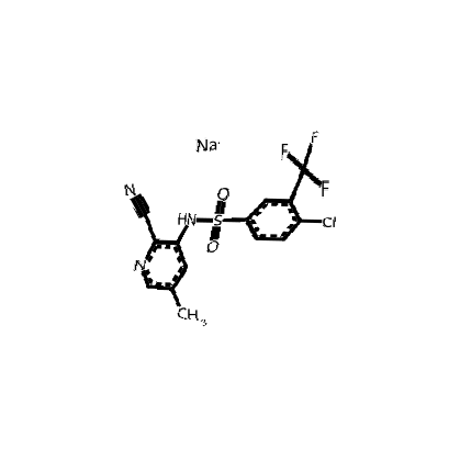 Cc1cnc(C#N)c(NS(=O)(=O)c2ccc(Cl)c(C(F)(F)F)c2)c1.[Na]